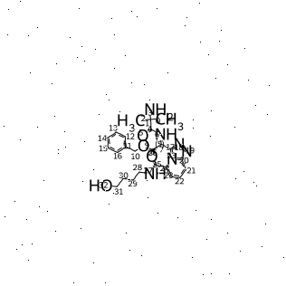 CC(C)(N)C(=O)N[C@H](COCc1ccccc1)c1nnc2cccc(C(=O)NCCCCO)n12